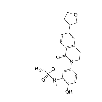 CS(=O)(=O)Nc1cc(N2CCc3cc(C4CCOC4)ccc3C2=O)ccc1O